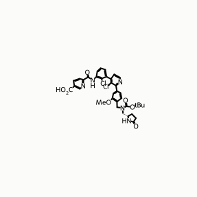 COc1cc(-c2nccc(-c3cccc(NC(=O)c4ccc(C(=O)O)cn4)c3Cl)c2Cl)ccc1CN(C[C@@H]1CCC(=O)N1)C(=O)OC(C)(C)C